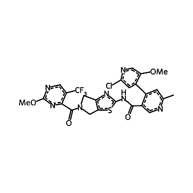 COc1ncc(C(F)(F)F)c(C(=O)N2Cc3nc(NC(=O)c4cnc(C)cc4-c4cc(Cl)ncc4OC)sc3C2)n1